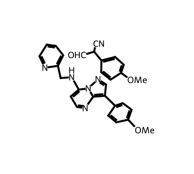 COc1ccc(-c2cnn3c(NCc4ccccn4)ccnc23)cc1.COc1ccc(C(C#N)C=O)cc1